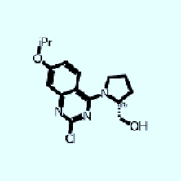 CC(C)Oc1ccc2c(N3CCC[C@@H]3CO)nc(Cl)nc2c1